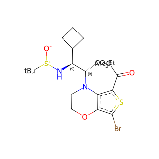 CCOC(=O)[C@@H]([C@@H](N[S+]([O-])C(C)(C)C)C1CCC1)N1CCOc2c(Br)sc(C(=O)OC)c21